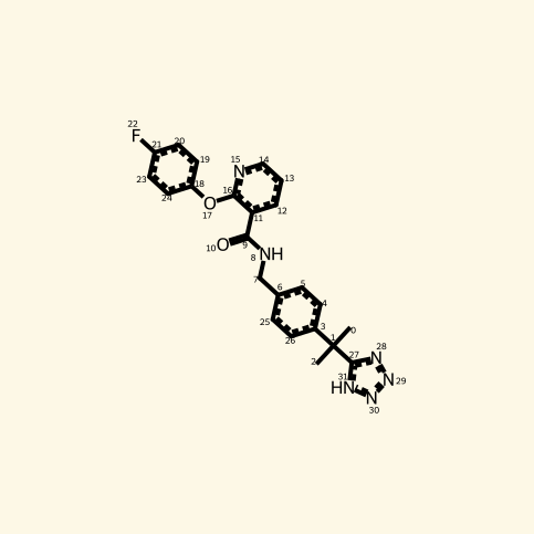 CC(C)(c1ccc(CNC(=O)c2cccnc2Oc2ccc(F)cc2)cc1)c1nnn[nH]1